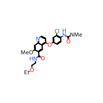 CCOCCNC(=O)c1cc2c(Oc3ccc(NC(=O)NC)c(Cl)c3)ccnc2cc1OC